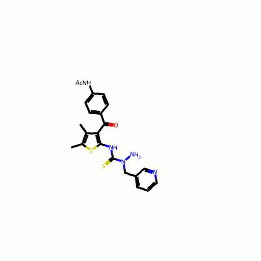 CC(=O)Nc1ccc(C(=O)c2c(NC(=S)N(N)Cc3cccnc3)sc(C)c2C)cc1